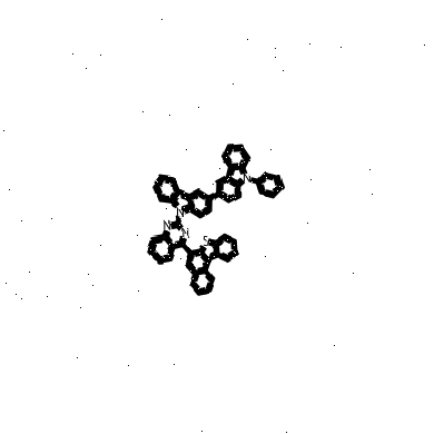 c1ccc(-n2c3ccccc3c3cc(-c4ccc5c(c4)c4ccccc4n5-c4nc(-c5cc6ccccc6c6c5sc5ccccc56)c5ccccc5n4)ccc32)cc1